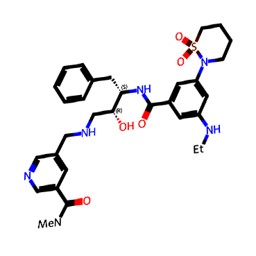 CCNc1cc(C(=O)N[C@@H](Cc2ccccc2)[C@H](O)CNCc2cncc(C(=O)NC)c2)cc(N2CCCCS2(=O)=O)c1